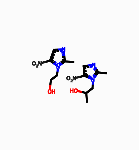 Cc1ncc([N+](=O)[O-])n1CC(C)O.Cc1ncc([N+](=O)[O-])n1CCO